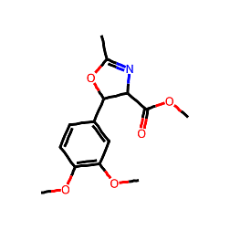 COC(=O)C1N=C(C)OC1c1ccc(OC)c(OC)c1